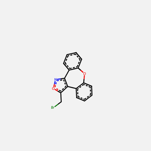 BrCc1onc2c1-c1ccccc1Oc1ccccc1-2